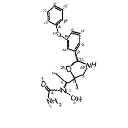 CC(N(O)C(N)=O)C1(C)CNC(c2cccc(Oc3ccccc3)c2)O1